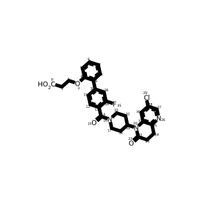 O=C(O)CCOc1ccccc1-c1ccc(C(=O)N2CCC(N3C(=O)CCc4ncc(Cl)cc43)CC2)c(F)c1